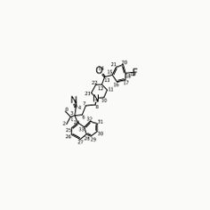 CC(C)C(C#N)(CCCN1CCC(C(=O)c2ccc(F)cc2)CC1)c1cccc2ccccc12